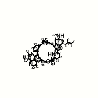 C/C=C(\C)C[C@@H](C[C@H](C)NC)C(=O)N[C@H]1Cc2nc(cs2)-c2ccc3c(c2)c(c(-c2cccnc2[C@H](C)OC)n3CC)CC(C)(C)COC(=O)[C@@H]2CCCN(N2)C1=O